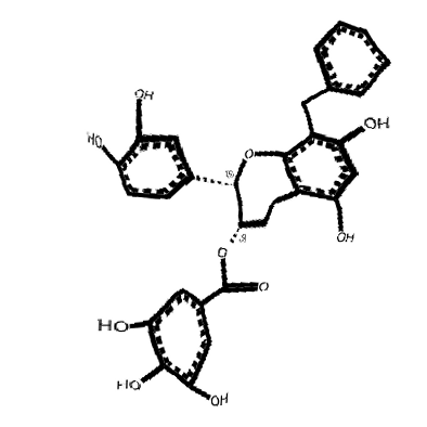 O=C(O[C@H]1Cc2c(O)cc(O)c(Cc3ccccc3)c2O[C@H]1c1ccc(O)c(O)c1)c1cc(O)c(O)c(O)c1